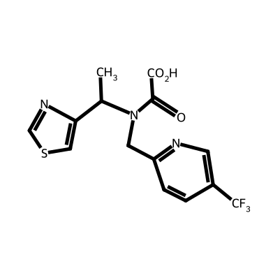 CC(c1cscn1)N(Cc1ccc(C(F)(F)F)cn1)C(=O)C(=O)O